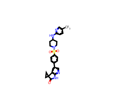 O=C1Nc2ncc(-c3ccc(S(=O)(=O)N4CCC(Nc5ccc(C(F)(F)F)cn5)CC4)cc3)cc2C12CC2